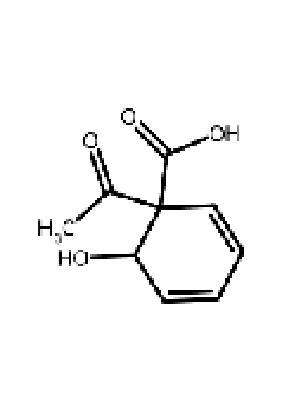 CC(=O)C1(C(=O)O)C=CC=CC1O